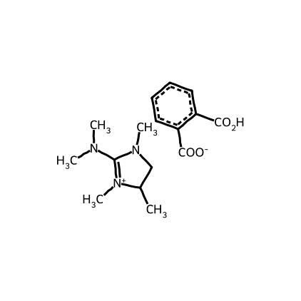 CC1CN(C)C(N(C)C)=[N+]1C.O=C([O-])c1ccccc1C(=O)O